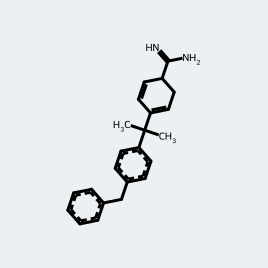 CC(C)(C1=CCC(C(=N)N)C=C1)c1ccc(Cc2ccccc2)cc1